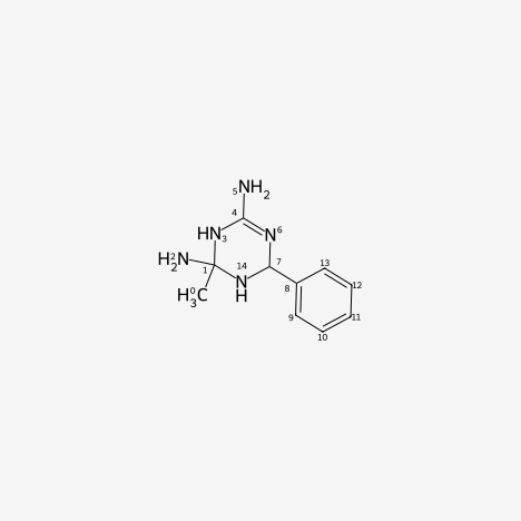 CC1(N)NC(N)=NC(c2ccccc2)N1